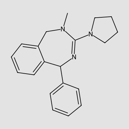 CN1Cc2ccccc2C(c2ccccc2)N=C1N1CCCC1